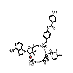 Nc1ncnc2c1ncn2[C@@H]1O[C@@H]2COP(=O)(SCc3ccc(OC(=O)c4ccc(O)cc4)cc3)O[C@@H]3[C@H](F)[C@@H](COP(=O)(O)O[C@@H]1[C@@H]2F)O[C@H]3n1ccc(=O)[nH]c1=O